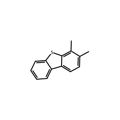 Cc1ccc2c(sc3ccccc32)c1C